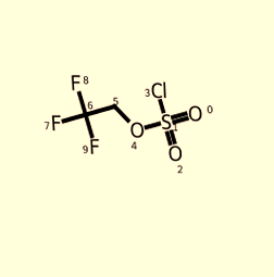 O=S(=O)(Cl)OCC(F)(F)F